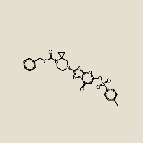 Cc1ccc(S(=O)(=O)Oc2cc(=O)n3nc(N4CCN(C(=O)OCc5ccccc5)C5(CC5)C4)sc3n2)cc1